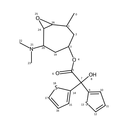 CC1CC(OC(=O)C(O)(c2cccs2)c2cccs2)CC(N(C)C)C2OC12